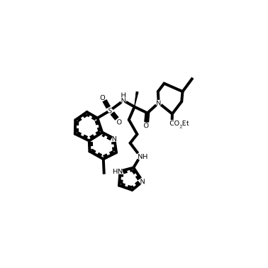 CCOC(=O)C1CC(C)CCN1C(=O)[C@](C)(CCCNc1ncc[nH]1)NS(=O)(=O)c1cccc2cc(C)cnc12